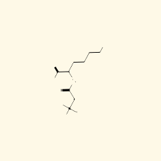 CCCCCC(NC(=O)CC(F)(F)F)C(=O)O